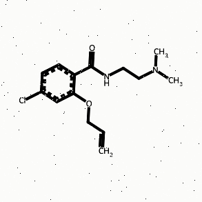 C=CCOc1cc(Cl)ccc1C(=O)NCCN(C)C